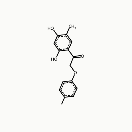 Cc1cc(C(=O)COc2ccc(I)cc2)c(O)cc1O